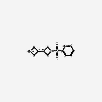 O=S(=O)(c1ccccn1)N1CC(C2CNC2)C1